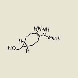 CCCCCN1NNC2=C1CC[C@@H]1[C@@H](CO)[C@@H]1CC2